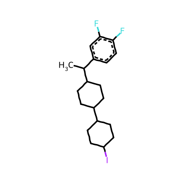 CC(c1ccc(F)c(F)c1)C1CCC(C2CCC(I)CC2)CC1